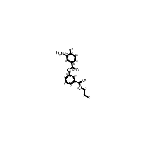 CCCOC(=O)c1cccc(OC(=O)c2ccc(C)c(N)c2)c1